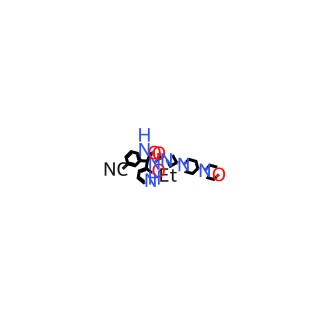 CCOc1ncccc1C1(NC(=O)N2CC(N3CCC(N4CCOCC4)CC3)C2)C(=O)Nc2ccc(C#N)cc21